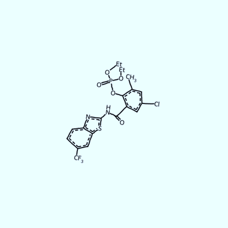 CCOP(=O)(OCC)Oc1c(C)cc(Cl)cc1C(=O)Nc1nc2ccc(C(F)(F)F)cc2s1